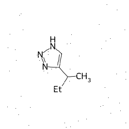 [CH2]CC(C)c1c[nH]nn1